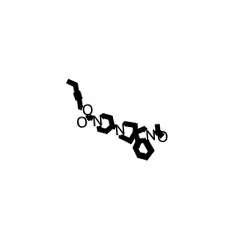 CCC#CCOC(=O)N1CCC(N2CCC3(CC2)CN(C(C)=O)c2ccccc23)CC1